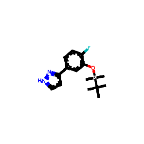 CC(C)(C)[Si](C)(C)Oc1cc(-c2cc[nH]n2)ccc1F